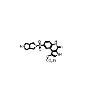 CCOC(=O)Oc1c[nH]c2c(=O)[nH]c3ccc(S(=O)(=O)N4CC5CNCC5C4)cc3c12